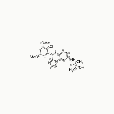 COc1cc(OC)c(Cl)c(-c2cc3cnc(NCC(C)(C)O)nc3n3ncnc23)c1